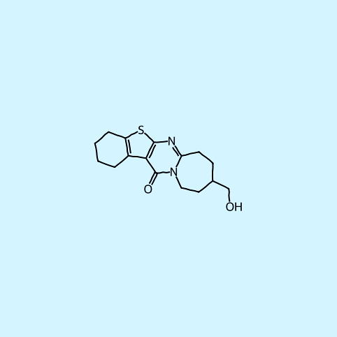 O=c1c2c3c(sc2nc2n1CCC(CO)CC2)CCCC3